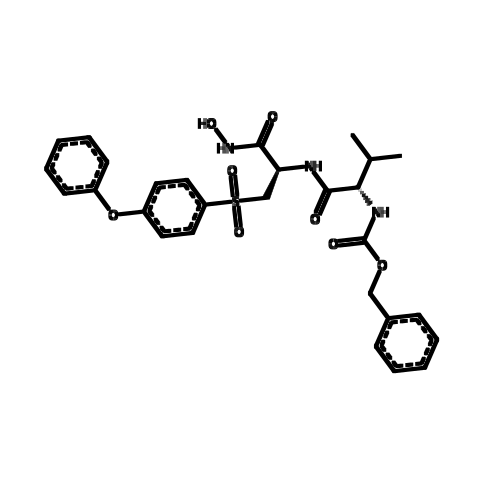 CC(C)[C@H](NC(=O)OCc1ccccc1)C(=O)N[C@@H](CS(=O)(=O)c1ccc(Oc2ccccc2)cc1)C(=O)NO